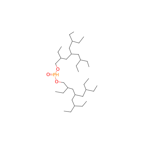 CCC(CC)CC(CC(CC)CC)CC(CC)CO[PH](=O)OCC(CC)CC(CC(CC)CC)CC(CC)CC